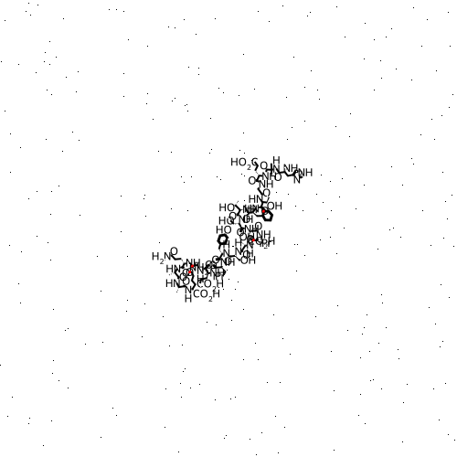 CC(C)C[C@H](NC(=O)[C@H](Cc1ccc(O)cc1)NC(=O)[C@H](CO)NC(=O)[C@H](CO)NC(=O)[C@@H](NC(=O)[C@H](CC(=O)O)NC(=O)[C@H](CO)NC(=O)[C@@H](NC(=O)[C@H](Cc1ccccc1)NC(=O)[C@@H](NC(=O)CNC(=O)[C@H](CCC(=O)O)NC(=O)C(C)(C)NC(=O)[C@H](N)Cc1c[nH]cn1)[C@@H](C)O)[C@@H](C)O)C(C)C)C(=O)N[C@@H](CCC(=O)O)C(=O)NCC(=O)N[C@@H](CCC(N)=O)C(=O)N[C@@H](C)C(=O)N[C@@H](C)C(=O)N[C@@H](CCCCN)C(=O)O